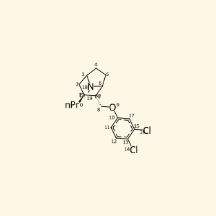 CCC[C@H]1CC2CCC([C@@H]1COc1ccc(Cl)c(Cl)c1)N2C